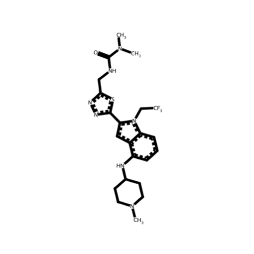 CN1CCC(Nc2cccc3c2cc(-c2nnc(CNC(=O)N(C)C)s2)n3CC(F)(F)F)CC1